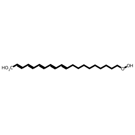 O=C(O)C=CC=CC=CC=CC=CCCCCCCCCCOO